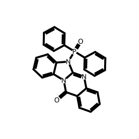 O=c1c2ccccc2nc2n(P(=O)(c3ccccc3)c3ccccc3)c3ccccc3n12